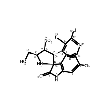 O=C1Nc2cc(Cl)ccc2[C@]12N[C@@H](CO)[C@@H]([N+](=O)[O-])[C@@H]2c1ccnc(Cl)c1F